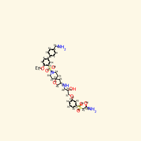 CCOc1ccc(-c2ccc(CN)cc2)cc1S(=O)(=O)N1CCC2(CC1)C[C@H](NCC(O)COc1cccc(S(=O)(=O)CC(N)=O)c1)CO2